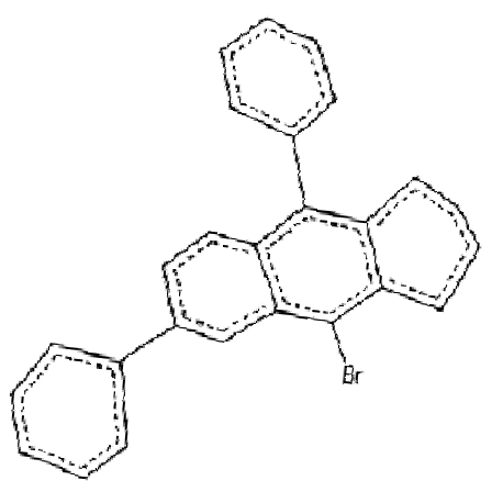 Brc1c2ccccc2c(-c2ccccc2)c2ccc(-c3ccccc3)cc12